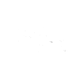 CC(C)(C)OC(=O)N1C[C@H]2C[C@@H](c3cnc(N)s3)C[C@@H](C1)O2